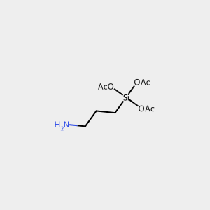 CC(=O)O[Si](CCCN)(OC(C)=O)OC(C)=O